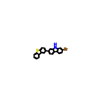 Brc1ccc2c(c1)[nH]c1cc(-c3ccc4sc5ccccc5c4c3)ccc12